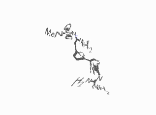 CNS(=O)(=O)/N=C(/N)Cc1ccc(-c2csc(N=C(N)N)n2)o1